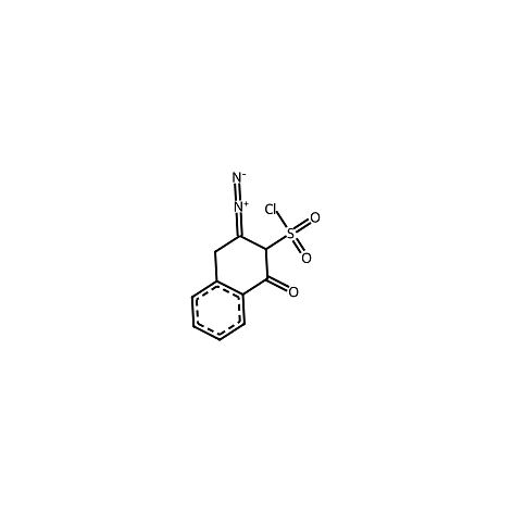 [N-]=[N+]=C1Cc2ccccc2C(=O)C1S(=O)(=O)Cl